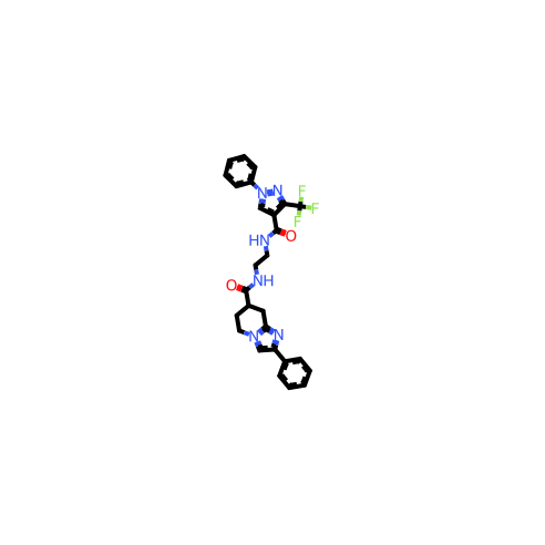 O=C(NCCNC(=O)C1CCn2cc(-c3ccccc3)nc2C1)c1cn(-c2ccccc2)nc1C(F)(F)F